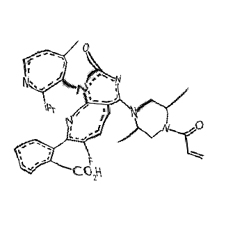 C=CC(=O)N1CC(C)N(c2nc(=O)n(-c3c(C)ccnc3C(C)C)c3nc(-c4ccccc4C(=O)O)c(F)cc23)CC1C